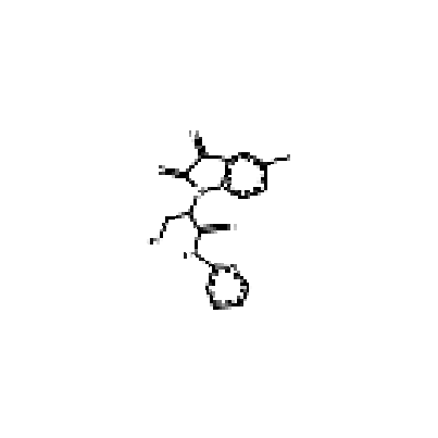 Cc1ccc2c(c1)C(=O)C(=O)N2C(CC(C)C)C(=O)Nc1ccccn1